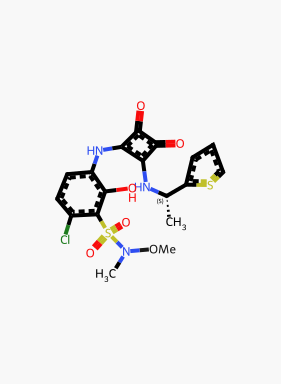 CON(C)S(=O)(=O)c1c(Cl)ccc(Nc2c(N[C@@H](C)c3cccs3)c(=O)c2=O)c1O